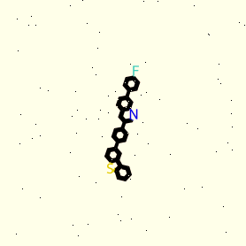 Fc1ccc(-c2ccc3cc(-c4ccc(-c5ccc6sc7ccccc7c6c5)cc4)cnc3c2)cc1